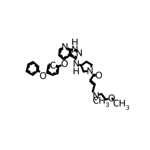 COCCN(C)C/C=C/C(=O)N1CCC(Nc2n[nH]c3nccc(Oc4ccc(Oc5ccccc5)cc4)c23)C1